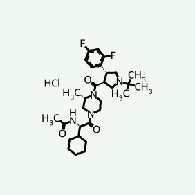 CC(=O)N[C@H](C(=O)N1CCN(C(=O)[C@@H]2CN(C(C)(C)C)C[C@H]2c2ccc(F)cc2F)[C@@H](C)C1)C1CCCCC1.Cl